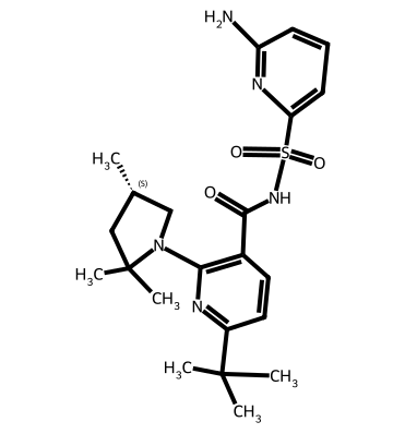 C[C@@H]1CN(c2nc(C(C)(C)C)ccc2C(=O)NS(=O)(=O)c2cccc(N)n2)C(C)(C)C1